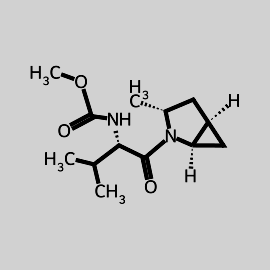 COC(=O)N[C@H](C(=O)N1[C@H](C)C[C@H]2C[C@H]21)C(C)C